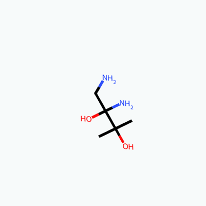 CC(C)(O)C(N)(O)CN